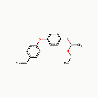 C=Cc1ccc(Oc2ccc(OC(C)OCC)cc2)cc1